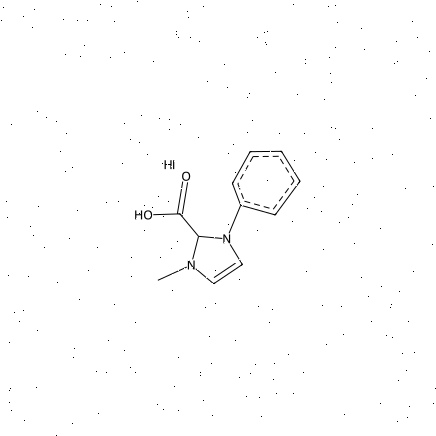 CN1C=CN(c2ccccc2)C1C(=O)O.I